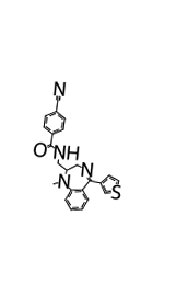 CN1c2ccccc2C(c2ccsc2)=NCC1CNC(=O)c1ccc(C#N)cc1